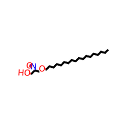 CCCCCCCCCCCCCCCCCCOCC(CO)N=O